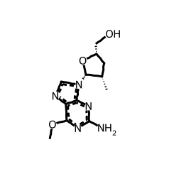 COc1nc(N)nc2c1ncn2[C@@H]1O[C@H](CO)C[C@@H]1C